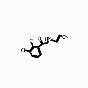 N#C/C=C/NCC(=O)c1cccc(Cl)c1Cl